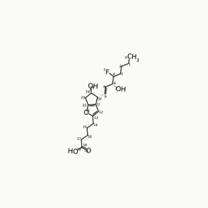 CCCCC(F)[C@H](O)/C=C/[C@@H]1c2cc(CCCCC(=O)O)oc2C[C@H]1O